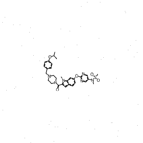 CC(C)Oc1ccc(CN2CCN(C(=O)c3cc4ccc(Oc5ncc(N(C)S(C)(=O)=O)cn5)cc4n3C)CC2)cc1